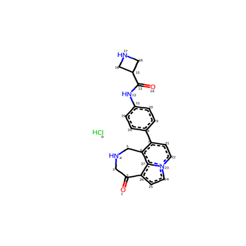 Cl.O=C1CNCc2c(-c3ccc(NC(=O)C4CNC4)cc3)ccn3ccc1c23